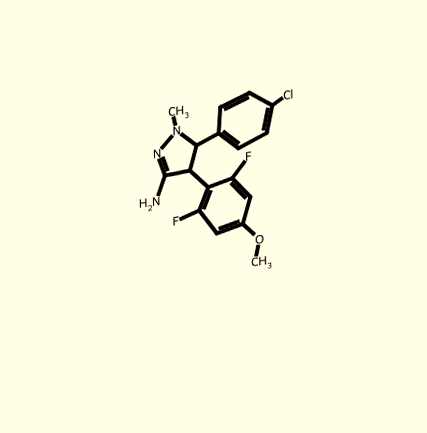 COc1cc(F)c(C2C(N)=NN(C)C2c2ccc(Cl)cc2)c(F)c1